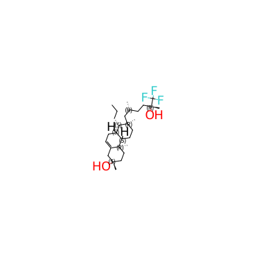 CCC[C@H]1[C@@H]2CC=C3C[C@@](C)(O)CC[C@]3(C)[C@H]2CC[C@]1(C)C[C@H](C)CC[C@@](C)(O)C(F)(F)F